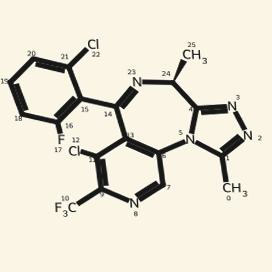 Cc1nnc2n1-c1cnc(C(F)(F)F)c(Cl)c1C(c1c(F)cccc1Cl)=N[C@H]2C